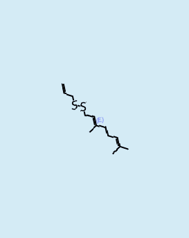 C=CCSSC/C=C(\C)CCC=C(C)C